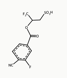 N#Cc1ccc(C(=O)OC(CS(=O)(=O)O)C(F)(F)F)cc1F